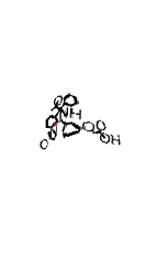 CO[C@H]1CCN(C[C@@H](NC(C(C)=O)(c2ccccc2)c2ccccc2)c2cccc(OCC(=O)O)c2)C1